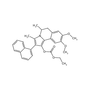 CCOC(=O)Oc1c(-c2cccc3ccccc23)c(C)n2c1-c1cc(OC)c(OC)cc1CC2C